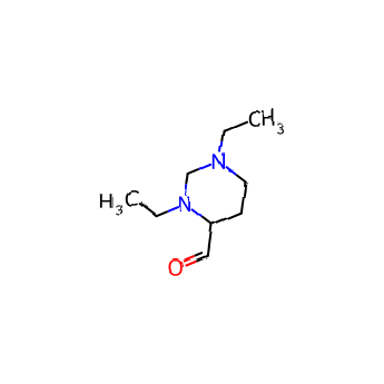 CCN1CCC(C=O)N(CC)C1